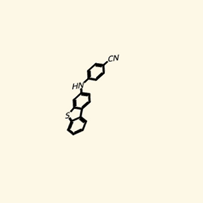 N#Cc1ccc(Nc2ccc3c(c2)sc2ccccc23)cc1